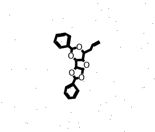 C=CCC1OC(c2ccccc2)OC2C1OC1OC(c3ccccc3)OC12